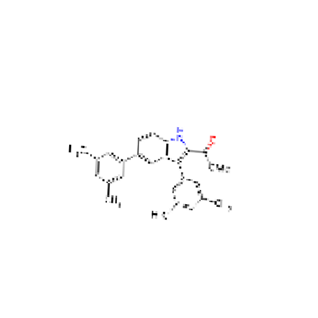 COC(=O)c1[nH]c2ccc(-c3cc(C)cc(C)c3)cc2c1-c1cc(C)cc(C)c1